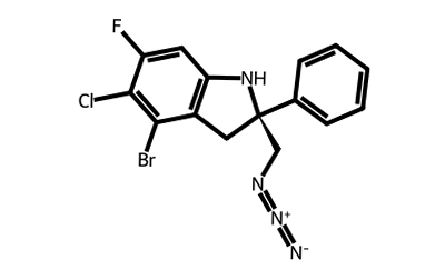 [N-]=[N+]=NC[C@@]1(c2ccccc2)Cc2c(cc(F)c(Cl)c2Br)N1